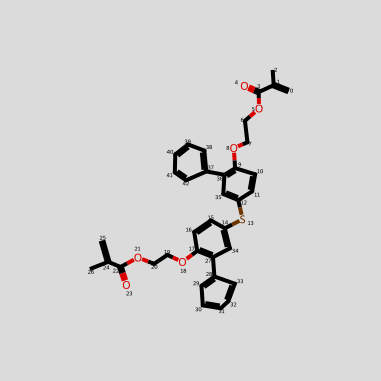 C=C(C)C(=O)OCCOc1ccc(Sc2ccc(OCCOC(=O)C(=C)C)c(-c3ccccc3)c2)cc1-c1ccccc1